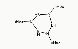 CCCCCCN1BN(CCCCCC)BN(CCCCCC)B1